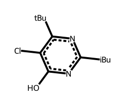 CCC(C)c1nc(O)c(Cl)c(C(C)(C)C)n1